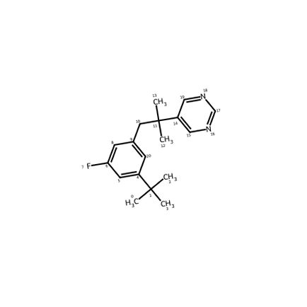 CC(C)(C)c1cc(F)cc(CC(C)(C)c2cncnc2)c1